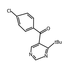 CC(C)(C)c1ncncc1C(=O)c1ccc(Cl)cc1